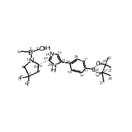 CB(O)N1CC(F)(F)C[C@H]1c1ncc(-c2ccc(B3OC(C)(C)C(C)(C)O3)cc2)[nH]1